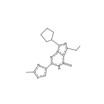 CCc1nc(C2CCCC2)n2nc(-c3csc(C)n3)[nH]c(=O)c12